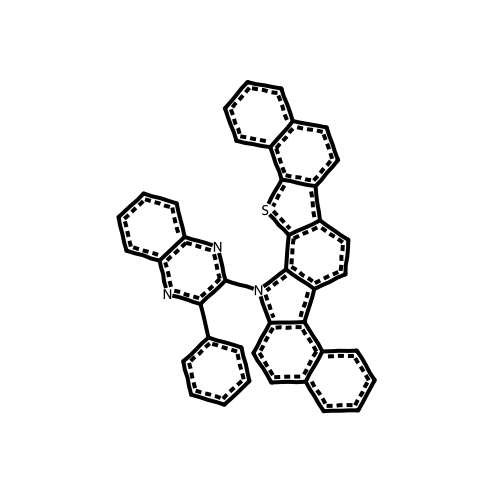 c1ccc(-c2nc3ccccc3nc2-n2c3ccc4ccccc4c3c3ccc4c5ccc6ccccc6c5sc4c32)cc1